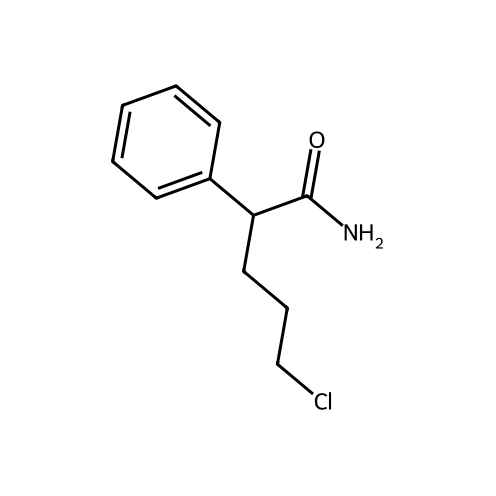 NC(=O)C(CCCCl)c1ccccc1